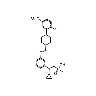 COc1ccc(F)c(C2CCC(COc3cccc([C@@H](CP(C)(=O)O)C4CC4)c3)CC2)c1